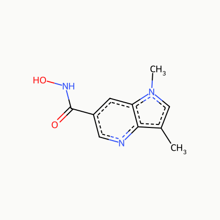 Cc1cn(C)c2cc(C(=O)NO)cnc12